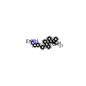 CCC(=N)Cc1ccc2cc(-c3cccc(-c4c5ccccc5c(-c5cc6c(c7ccccc57)-c5ccccc5C6(C)C)c5ccccc45)c3)ccc2c1